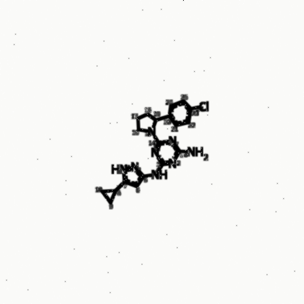 Nc1nc(Nc2cc(C3CC3)[nH]n2)nc(N2CCCC2c2ccc(Cl)cc2)n1